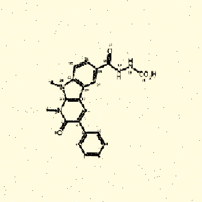 Cn1c(=O)c(-c2ccccc2)cc2c3cc(C(=O)NNC(=O)O)ccc3n(C)c21